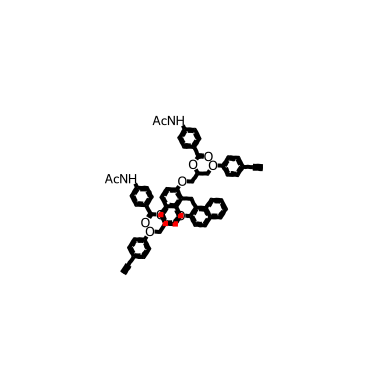 C#Cc1ccc(OCC(COc2ccc3ccccc3c2Cc2c(OCC(COc3ccc(C#C)cc3)OC(=O)c3ccc(NC(C)=O)cc3)ccc3ccccc23)OC(=O)c2ccc(NC(C)=O)cc2)cc1